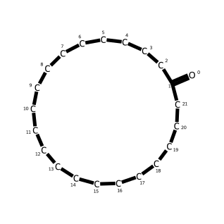 O=C1CCCCCCCCCCCCCCCCCCCC1